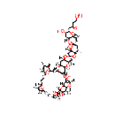 C=C1[C@H](C)C[C@@H]2CC[C@@H]3O[C@@H](CC[C@@]45C[C@H]6O[C@H]7[C@@H](O4)[C@H]4O[C@H](CC[C@@H]4O[C@H]7[C@@H]6O5)CC(=O)O[C@@H]4[C@@H](C)[C@@H]5O[C@@H]6C[C@]7(C[C@@H]8O[C@]9(C[C@H](C)[C@@H]%10O[C@H](CC(=O)CCO)[C@H](O)C[C@@H]%10O9)C[C@H](C)[C@@H]8O7)O[C@@H]6C[C@@H]5O[C@H]4C[C@H]1O2)C[C@H]3C